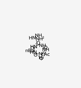 CCCCC1NC(=O)[C@@H](Cc2ccccc2)NC(=O)[C@H](CC(C)=O)NC(=O)CNC(=O)C(CCCNC(=N)N)NC1=O